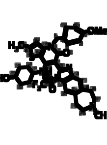 COc1ccc(Cn2c(=O)c(-c3nc4cc5c(cc4n3S(=O)(=O)C(F)(F)F)CCN(C)CC5)c(NC3CCC(O)CC3)c3sc(C)cc32)cc1